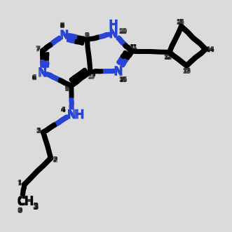 CCCCNc1ncnc2[nH]c(C3CCC3)nc12